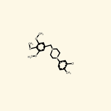 COc1cc(CN2CCN(c3ccc(C)c(Cl)c3)CC2)cc(OC)c1OC